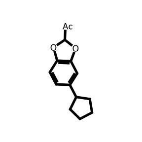 CC(=O)C1Oc2ccc(C3CCCC3)cc2O1